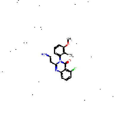 COc1cccc(-n2c(CCN)nc3cccc(Cl)c3c2=O)c1C